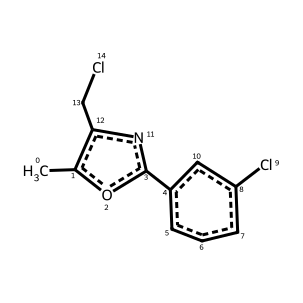 Cc1oc(-c2cccc(Cl)c2)nc1CCl